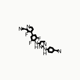 N#Cc1ccc(Nc2nccc(Nc3c(F)cc(-c4ccnc(C#N)c4F)cc3F)n2)cc1